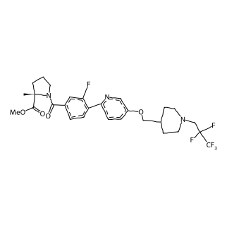 COC(=O)[C@]1(C)CCCN1C(=O)c1ccc(-c2ccc(OCC3CCN(CC(F)(F)C(F)(F)F)CC3)cn2)c(F)c1